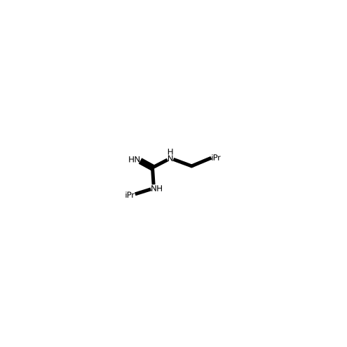 CC(C)CNC(=N)NC(C)C